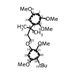 COc1cc(OC)c(OC)c(C(C)(C)CCOc2cc(OC)c(C(C)(C)C)cc2OC)c1